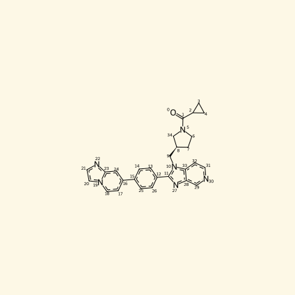 O=C(C1CC1)N1CC[C@@H](Cn2c(-c3ccc(-c4ccn5ccnc5c4)cc3)nc3cnccc32)C1